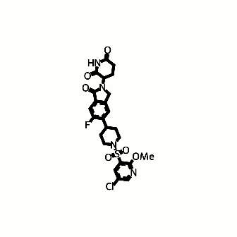 COc1ncc(Cl)cc1S(=O)(=O)N1CCC(c2cc3c(cc2F)C(=O)N(C2CCC(=O)NC2=O)C3)CC1